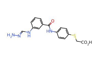 NN=CNc1cccc(C(=O)Nc2ccc(SCC(=O)O)cc2)c1